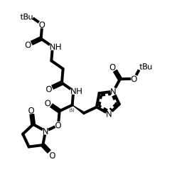 CC(C)(C)OC(=O)NCCC(=O)N[C@@H](Cc1cn(C(=O)OC(C)(C)C)cn1)C(=O)ON1C(=O)CCC1=O